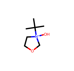 CC(C)(C)[N+]1(O)CCOC1